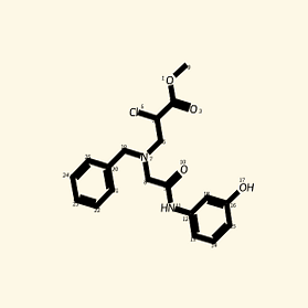 COC(=O)C(Cl)CN(CC(=O)Nc1cccc(O)c1)Cc1ccccc1